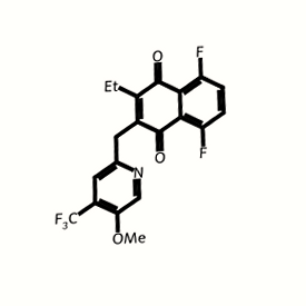 CCC1=C(Cc2cc(C(F)(F)F)c(OC)cn2)C(=O)c2c(F)ccc(F)c2C1=O